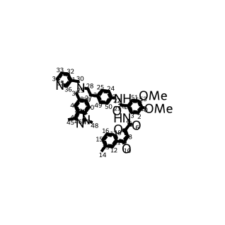 COc1cc(NC(=O)c2cc(=O)c3cc(C)ccc3o2)c(C(=O)Nc2ccc(CCN(Cc3cccnc3)Cc3ccc4c(c3)c(C)nn4C)cc2)cc1OC